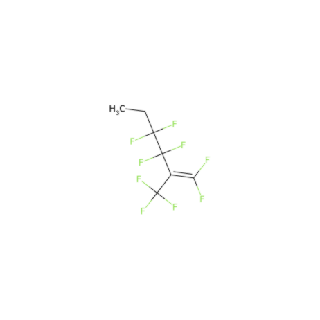 CCC(F)(F)C(F)(F)C(=C(F)F)C(F)(F)F